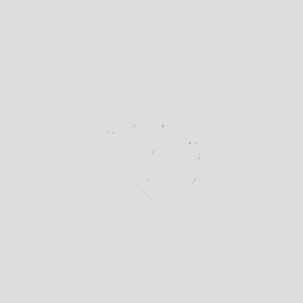 Cc1ccc(C)c(-c2ccccc2C2=CC(c3ccccc3)(c3ccccc3)c3cc(N(c4ccccc4)c4ccccc4)ccc32)c1